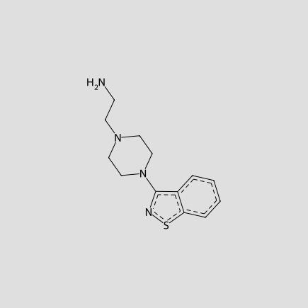 NCCN1CCN(c2nsc3ccccc23)CC1